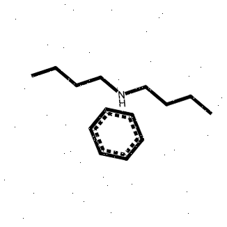 CCCCNCCCC.c1ccccc1